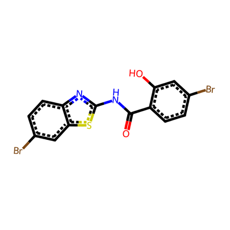 O=C(Nc1nc2ccc(Br)cc2s1)c1ccc(Br)cc1O